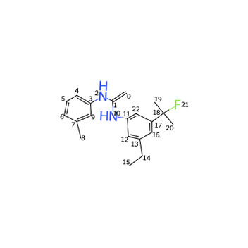 C=C(Nc1cccc(C)c1)Nc1cc(CC)cc(C(C)(C)F)c1